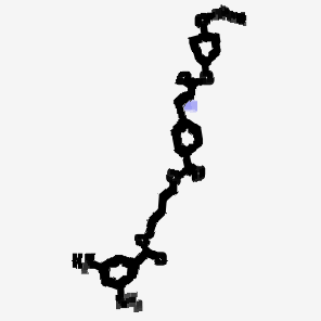 CCCCCOc1ccc(OC(=O)/C=C/c2ccc(C(=O)OCCCCCOC(=O)c3cc(N)cc(N)c3)cc2)cc1